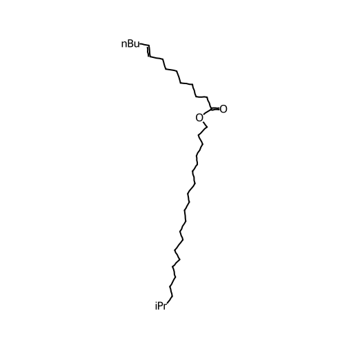 CCCCC=CCCCCCCCC(=O)OCCCCCCCCCCCCCCCCCCCC(C)C